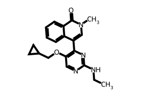 CCNc1ncc(OCC2CC2)c(-c2cn(C)c(=O)c3ccccc23)n1